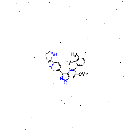 COc1cc2[nH]nc(-c3ccc([C@@H]4CCCN4)nc3)c2nc1-c1cccc(C)c1C